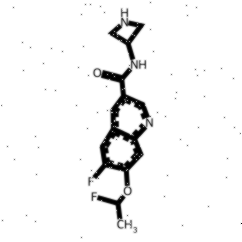 CC(F)Oc1cc2ncc(C(=O)NC3CNC3)cc2cc1F